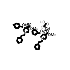 COC(=O)C1(N(OCc2ccccc2)C(C)=O)CCN(CCc2ccccc2)CC1.COC(=O)C1(N(OCc2ccccc2)C(C)=O)CCN(CCc2ccccc2)CC1.O=C(O)C(=O)O